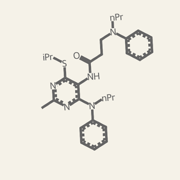 CCCN(CCC(=O)Nc1c(SC(C)C)nc(C)nc1N(CCC)c1ccccc1)c1ccccc1